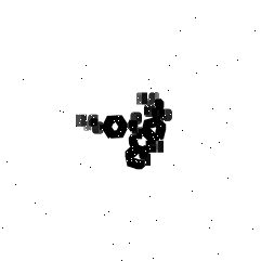 CCS(=O)(=O)c1ccc2c(c1)N(C(=O)[C@H]1CC[C@H](OC)CC1)Cc1cccnc1N2